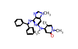 CCc1cn(C)c(=O)cc1N(C)c1cc2c(ncn2C)c(N=C(c2ccccc2)c2ccccc2)n1